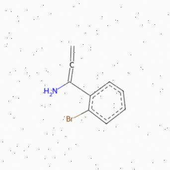 C=C=C(N)c1ccccc1Br